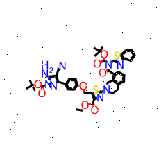 CCOC(=O)c1nc(N2CCc3cccc(C(=O)N(C(=O)OC(C)(C)C)c4nc5ccccc5s4)c3C2)sc1COc1ccc(-c2nn(C(=O)OC(C)(C)C)c(N)c2C#N)cc1